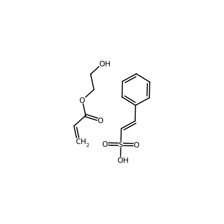 C=CC(=O)OCCO.O=S(=O)(O)C=Cc1ccccc1